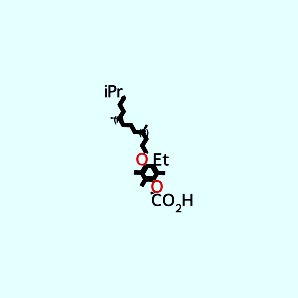 CCc1c(C)c(OCC(=O)O)c(C)c(C)c1OCCC[C@H](C)CCC[C@H](C)CCCC(C)C